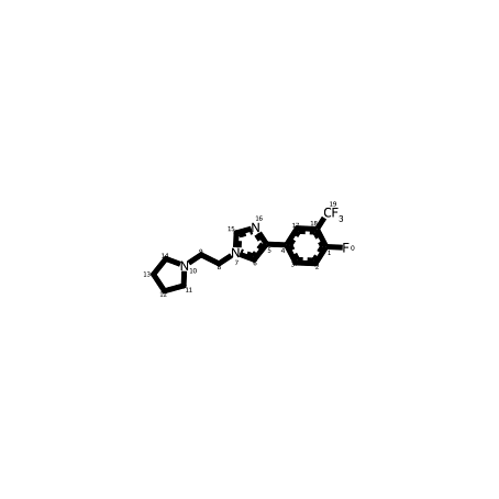 Fc1ccc(-c2cn(CCN3CCCC3)cn2)cc1C(F)(F)F